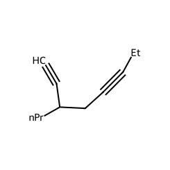 C#CC(CC#CCC)C[CH]C